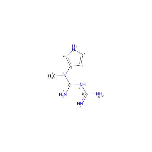 CN(c1cc[nH]c1)C(N)NC(=N)N